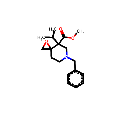 COC(=O)C1(C(C)C)CN(Cc2ccccc2)CCC12CO2